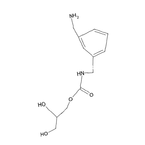 NCc1cccc(CNC(=O)OCC(O)CO)c1